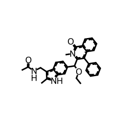 CCOC(c1ccc2c(CNC(C)=O)c(C)[nH]c2c1)c1c(-c2ccccc2)c2ccccc2c(=O)n1C